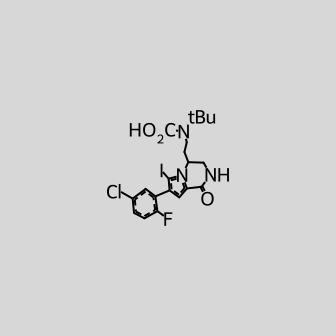 CC(C)(C)N(CCC1CNC(=O)c2cc(-c3cc(Cl)ccc3F)c(I)n21)C(=O)O